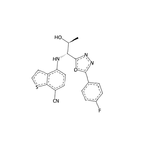 C[C@H](O)[C@@H](Nc1ccc(C#N)c2sccc12)c1nnc(-c2ccc(F)cc2)o1